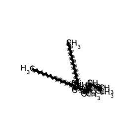 CCCCCCCCCCCCCCCCCCOC(=O)C(COC(=O)C1(C)CC1(C)OC(C)(C)CCOC(C)(C)C)NC(=O)CCCCCCCCCCCCCCCCC